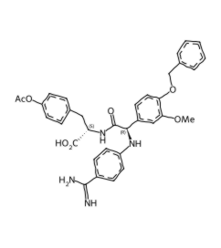 COc1cc([C@@H](Nc2ccc(C(=N)N)cc2)C(=O)N[C@@H](Cc2ccc(OC(C)=O)cc2)C(=O)O)ccc1OCc1ccccc1